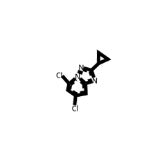 Clc1cc(Cl)n2nc(C3CC3)nc2c1